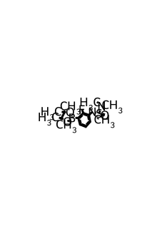 CN(C)S(C)(=O)=Nc1cccc(B2OC(C)(C)C(C)(C)O2)c1F